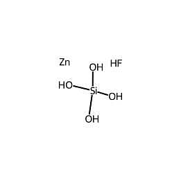 F.O[Si](O)(O)O.[Zn]